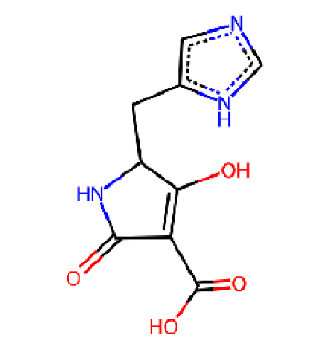 O=C(O)C1=C(O)C(Cc2cnc[nH]2)NC1=O